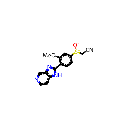 COc1cc([S+]([O-])CC#N)ccc1-c1nc2cnccc2[nH]1